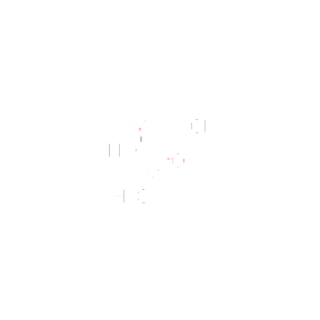 C1CC2CC2C1.CCCC(C(=O)O)C(=O)OCC